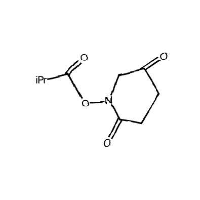 CC(C)C(=O)ON1CC(=O)CCC1=O